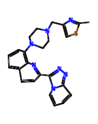 Cc1nc(CN2CCN(c3cccc4ccc(-c5nnc6ccccn56)nc34)CC2)cs1